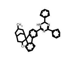 CC1CC2CC(C)C3(c4ccccc4-c4cc(C5=NC(c6ccccc6)=NC(c6ccccc6)N5)ccc43)C(C1)C2